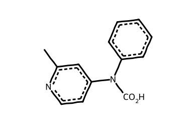 Cc1cc(N(C(=O)O)c2ccccc2)ccn1